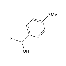 CSc1ccc(C(O)C(C)C)cc1